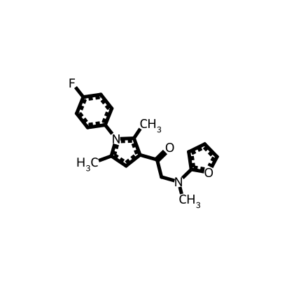 Cc1cc(C(=O)CN(C)c2ccco2)c(C)n1-c1ccc(F)cc1